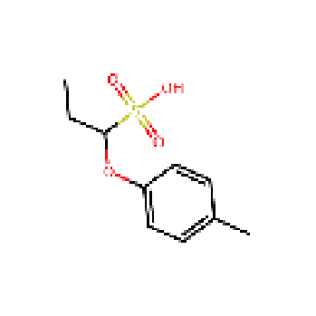 CCC(Oc1ccc(C)cc1)S(=O)(=O)O